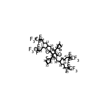 O=C1C2=C(c3cccs3)N(CC(CCCC(F)(F)C(F)(F)F)CCCC(F)(F)C(F)(F)F)C(=O)C2=C(c2cccs2)N1CC(CCCC(F)(F)C(F)(F)F)CCCC(F)(F)C(F)(F)F